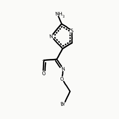 Nc1nc(C([C]=O)=NOCBr)cs1